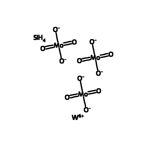 [O]=[Mo](=[O])([O-])[O-].[O]=[Mo](=[O])([O-])[O-].[O]=[Mo](=[O])([O-])[O-].[SiH4].[W+6]